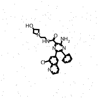 Nc1nc(-c2ccccc2)c(-c2cc(Cl)c3ncccc3c2)nc1C(=O)NCCN1CC(O)C1